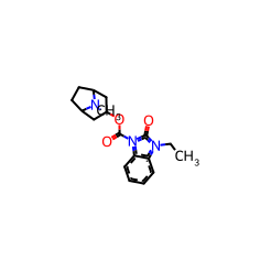 CCn1c(=O)n(C(=O)OC2CC3CCC(C2)N3C)c2ccccc21